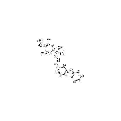 CCOc1c(F)cc(C(Cl)(COCc2cccc(Oc3ccccc3)c2)C(F)(F)F)cc1F